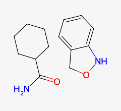 NC(=O)C1CCCCC1.c1ccc2c(c1)CON2